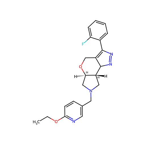 CCOc1ccc(CN2C[C@H]3OCC4=C(c5ccccc5F)N=NC4[C@@H]3C2)cn1